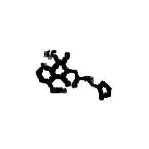 COc1ccnc2c1c(=O)n(CC(=O)NCc1ccco1)c(=O)n2C